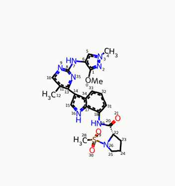 COc1nn(C)cc1Nc1ncc(C)c(-c2c[nH]c3c(NC(=O)[C@@H]4CCCN4S(C)(=O)=O)cccc23)n1